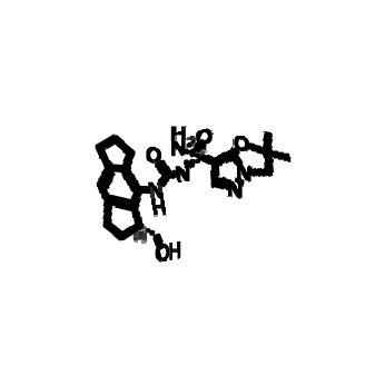 CC1(C)Cn2ncc([S@@](N)(=O)=NC(=O)Nc3c4c(cc5c3[C@H](CO)CC5)CCC4)c2O1